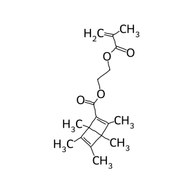 C=C(C)C(=O)OCCOC(=O)C1=C(C)C2(C)C(C)=C(C)C12C